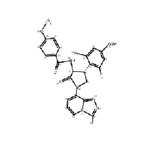 COc1cc(F)c([C@@H]2CN(c3cccn4c(C)nnc34)C(=O)C2NC(=O)c2ccc(OC(F)(F)F)cc2)c(F)c1